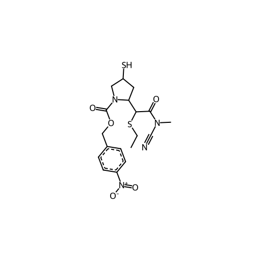 CCSC(C(=O)N(C)C#N)C1CC(S)CN1C(=O)OCc1ccc([N+](=O)[O-])cc1